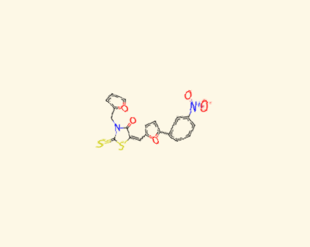 O=C1/C(=C\c2ccc(-c3cccc([N+](=O)[O-])c3)o2)SC(=S)N1Cc1ccco1